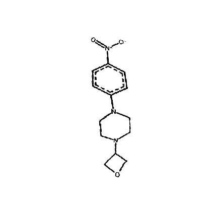 O=[N+]([O-])c1ccc(N2CCN(C3COC3)CC2)cc1